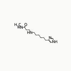 CNC(=O)CCNCCCCCCc1c[nH]cn1